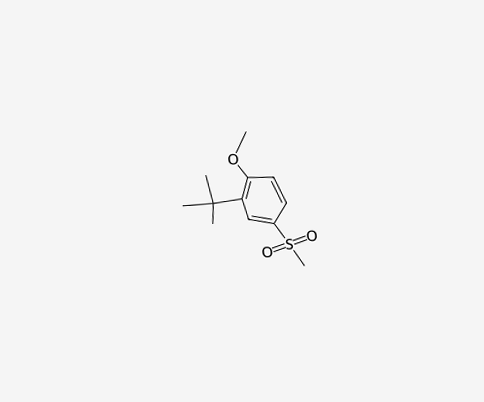 COc1ccc(S(C)(=O)=O)cc1C(C)(C)C